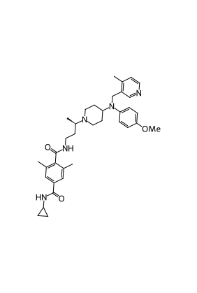 COc1ccc(N(Cc2cnccc2C)C2CCN([C@H](C)CCNC(=O)c3c(C)cc(C(=O)NC4CC4)cc3C)CC2)cc1